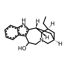 CC[C@H]1C[C@@H]2C[C@H]3c4[nH]c5ccccc5c4C(O)CN(C2)[C@@H]13